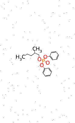 CCCC(C)COP(=O)(Oc1ccccc1)Oc1ccccc1